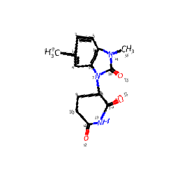 Cc1ccc2c(c1)n(C1CCC(=O)NC1=O)c(=O)n2C